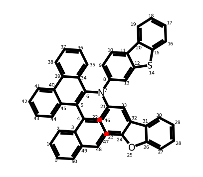 c1ccc2c(-c3c(N(c4ccc5c(c4)sc4ccccc45)c4ccc5oc6ccccc6c5c4)c4ccccc4c4ccccc34)cccc2c1